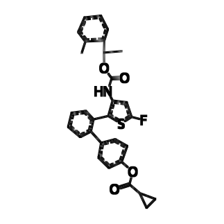 Cc1ccccc1C(C)OC(=O)Nc1cc(F)sc1-c1ccccc1-c1ccc(OC(=O)C2CC2)cc1